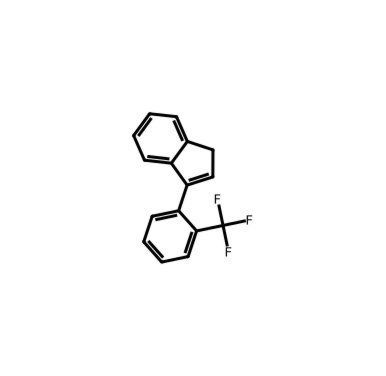 FC(F)(F)c1ccccc1C1=CCc2ccccc21